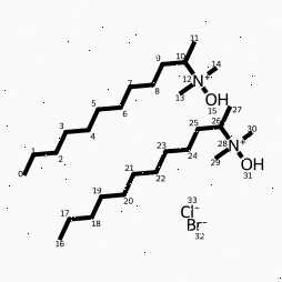 CCCCCCCCCCC(C)[N+](C)(C)O.CCCCCCCCCCC(C)[N+](C)(C)O.[Br-].[Cl-]